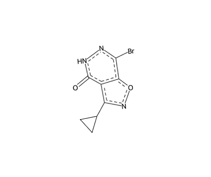 O=c1[nH]nc(Br)c2onc(C3CC3)c12